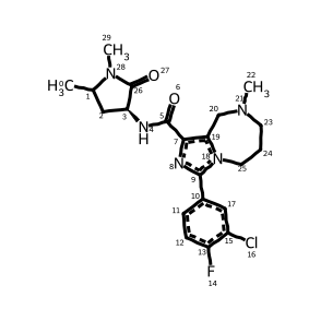 CC1C[C@H](NC(=O)c2nc(-c3ccc(F)c(Cl)c3)n3c2CN(C)CCC3)C(=O)N1C